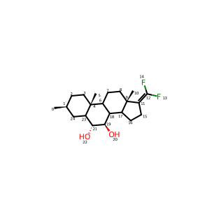 C[C@H]1CC[C@]2(C)C3CC[C@]4(C)C(=C(F)F)CCC4C3[C@@H](O)[C@H](O)C2C1